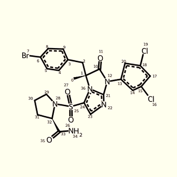 C[C@@]1(Cc2ccc(Br)cc2)C(=O)N(c2cc(Cl)cc(Cl)c2)c2ncc(S(=O)(=O)N3CCC[C@@H]3C(N)=O)n21